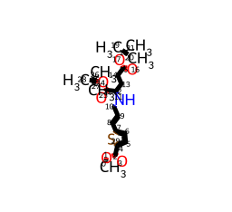 COC(=O)c1ccc(C=CCNC(CCC(=O)OC(C)(C)C)C(=O)OC(C)(C)C)s1